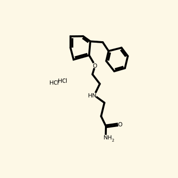 Cl.Cl.NC(=O)CCNCCOc1ccccc1Cc1ccccc1